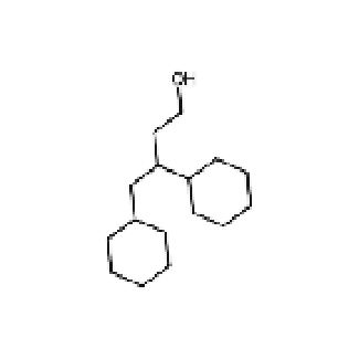 OCCC(CC1CCCCC1)C1CCCCC1